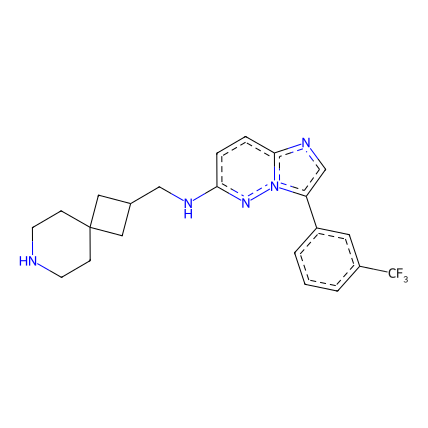 FC(F)(F)c1cccc(-c2cnc3ccc(NCC4CC5(CCNCC5)C4)nn23)c1